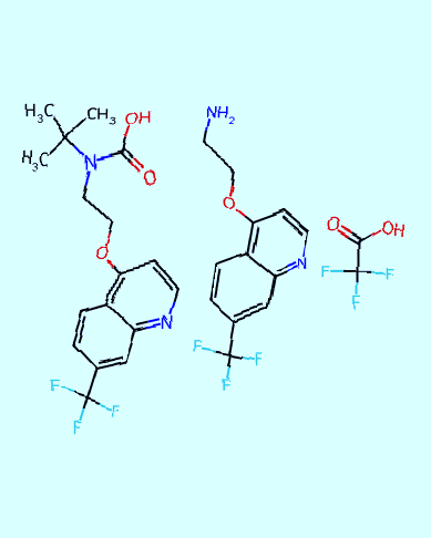 CC(C)(C)N(CCOc1ccnc2cc(C(F)(F)F)ccc12)C(=O)O.NCCOc1ccnc2cc(C(F)(F)F)ccc12.O=C(O)C(F)(F)F